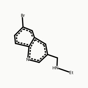 CCNCc1cnc2ccc(Br)cc2c1